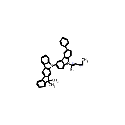 C/C=C\C=C(/CC)n1c2ccc(-c3ccccc3)cc2c2cc(-n3c4ccccc4c4cc5c(cc43)C(C)(C)c3ccccc3-5)ccc21